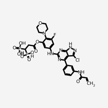 C=CC(=O)Nc1cccc(-c2nc(Nc3cc(F)c(N4CCOCC4)c(OC(=O)CC(P(=O)(O)O)P(=O)(O)O)c3)nc3[nH]nc(Cl)c23)c1